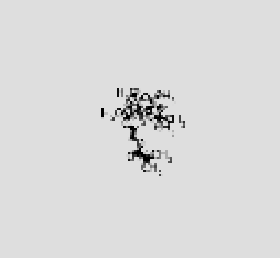 C=C(C)C(=O)OCCO[Si](C)(C)O[Si](C)(C)O[Si](C)(C)OC(C)(C)C